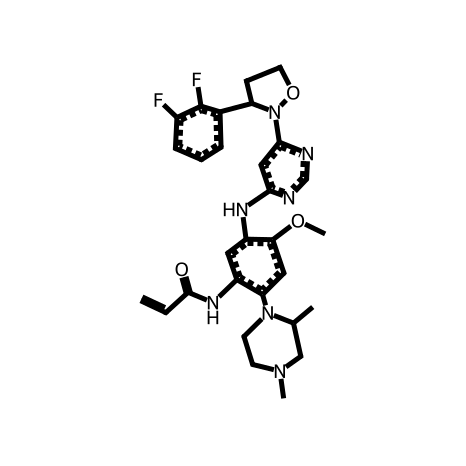 C=CC(=O)Nc1cc(Nc2cc(N3OCCC3c3cccc(F)c3F)ncn2)c(OC)cc1N1CCN(C)CC1C